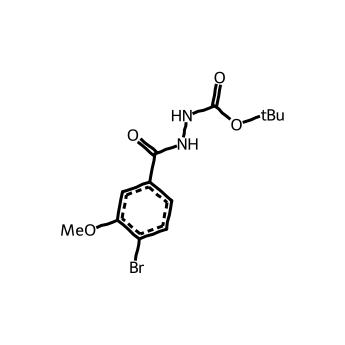 COc1cc(C(=O)NNC(=O)OC(C)(C)C)ccc1Br